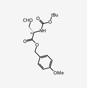 COc1ccc(COC(=O)[C@H](CC=O)NC(=O)OC(C)(C)C)cc1